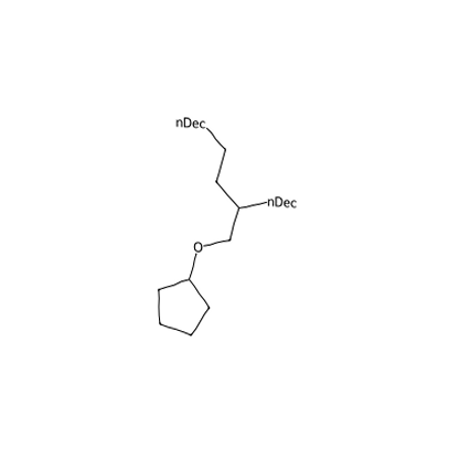 CCCCCCCCCCCCC(CCCCCCCCCC)COC1CCCC1